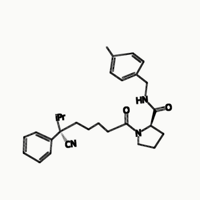 Cc1ccc(CNC(=O)[C@H]2CCCN2C(=O)CCCC[C@@](C#N)(c2ccccc2)C(C)C)cc1